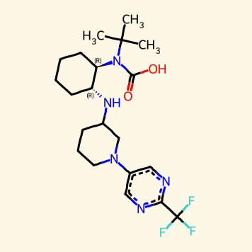 CC(C)(C)N(C(=O)O)[C@@H]1CCCC[C@H]1NC1CCCN(c2cnc(C(F)(F)F)nc2)C1